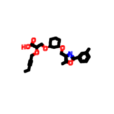 CCC#CCOC(CO[C@@H]1CCC[C@H](OCc2nc(-c3cccc(C)c3)oc2C)C1)C(=O)O